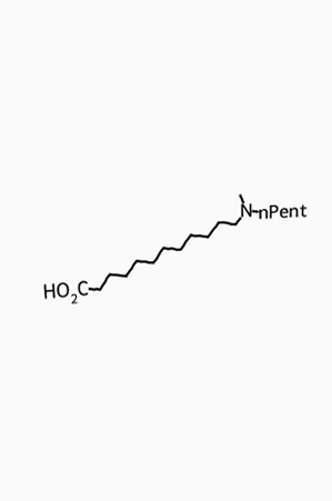 CCCCCN(C)CCCCCCCCCCCC(=O)O